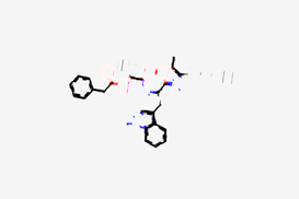 Cc1oc([C@@H](Cc2cn(C)c3ccccc23)NC(=O)[C@@H](OC(=O)Cc2ccccc2)C(C)C)nc1C(=O)O